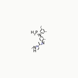 C=C/C(=C\NCC)C(=C)/C=N\c1ccc(N(CP)c2cc(C)cc(CC)c2)cc1C